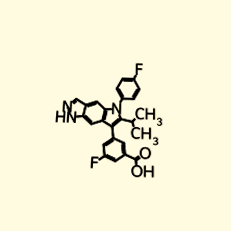 CC(C)c1c(-c2cc(F)cc(C(=O)O)c2)c2cc3[nH]ncc3cc2n1-c1ccc(F)cc1